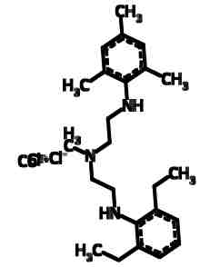 CCc1cccc(CC)c1NCCN(C)CCNc1c(C)cc(C)cc1C.[Cl-].[Cl-].[Co+2]